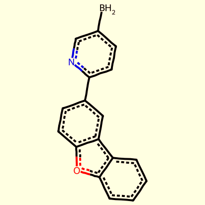 Bc1ccc(-c2ccc3oc4ccccc4c3c2)nc1